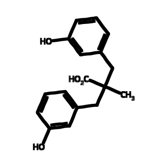 CC(Cc1cccc(O)c1)(Cc1cccc(O)c1)C(=O)O